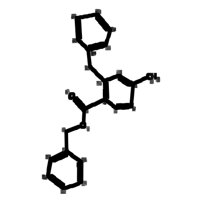 Cc1ccc(C(=O)OCc2ccccc2)c(Cc2ccccc2)c1